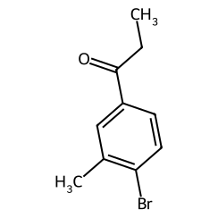 CCC(=O)c1ccc(Br)c(C)c1